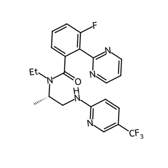 CCN(C(=O)c1cccc(F)c1-c1ncccn1)[C@@H](C)CNc1ccc(C(F)(F)F)cn1